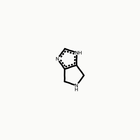 c1nc2c([nH]1)CNC2